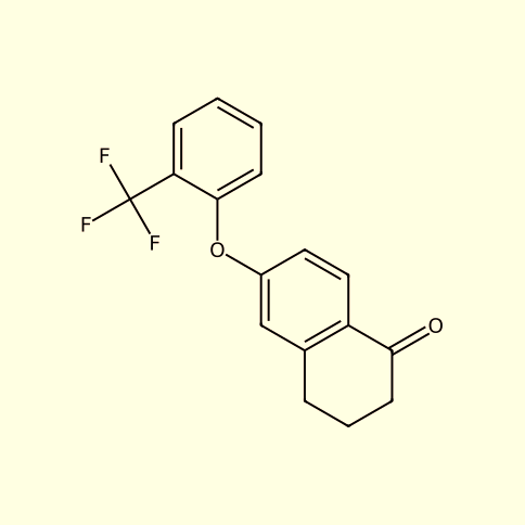 O=C1CCCc2cc(Oc3ccccc3C(F)(F)F)ccc21